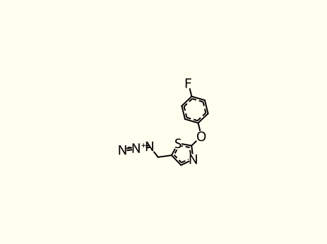 [N-]=[N+]=NCc1cnc(Oc2ccc(F)cc2)s1